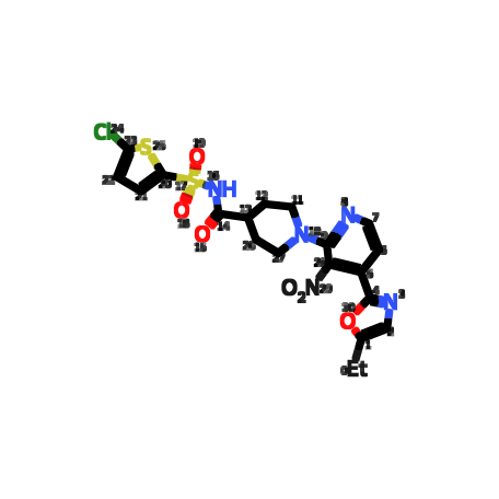 CCc1cnc(-c2ccnc(N3CCC(C(=O)NS(=O)(=O)c4ccc(Cl)s4)CC3)c2[N+](=O)[O-])o1